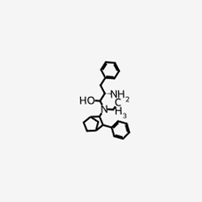 CCN(C1C2CCC(C2)C1c1ccccc1)C(O)[C@@H](N)Cc1ccccc1